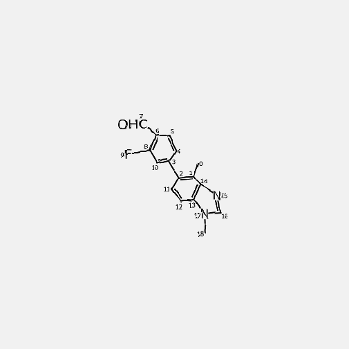 Cc1c(-c2ccc(C=O)c(F)c2)ccc2c1ncn2C